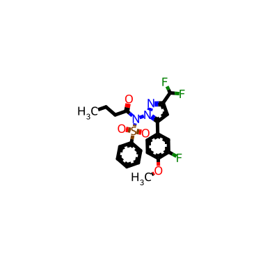 CCCC(=O)N(n1nc(C(F)F)cc1-c1ccc(OC)c(F)c1)S(=O)(=O)c1ccccc1